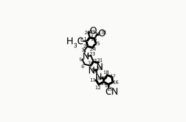 Cc1c(CN2CCc3nc(-n4ccc5c(C#N)cccc54)ncc3C2)ccc2c1COC2=O